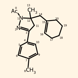 CC(=O)N1N=C(c2ccc(C)cc2)CC1(C)CC1=CCCCC1